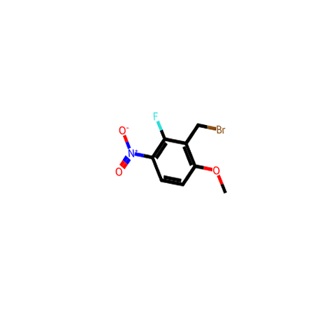 COc1ccc([N+](=O)[O-])c(F)c1CBr